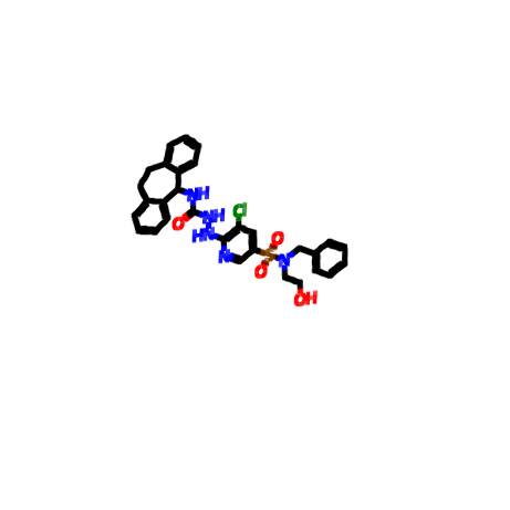 O=C(NNc1ncc(S(=O)(=O)N(CCO)Cc2ccccc2)cc1Cl)NC1c2ccccc2CCc2ccccc21